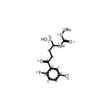 CC(C)(C)OC(=O)NC(CCC(=O)c1cc(Cl)ccc1F)C(=O)O